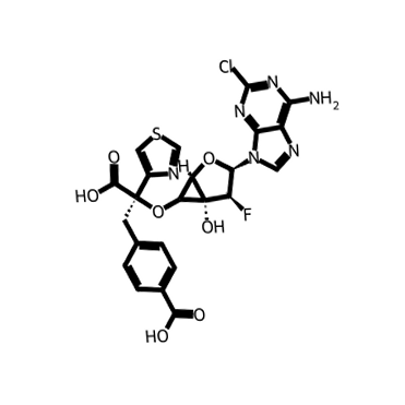 Nc1nc(Cl)nc2c1ncn2[C@@H]1O[C@@H]2C(O[C@@](Cc3ccc(C(=O)O)cc3)(C(=O)O)c3cscn3)[C@]2(O)[C@@H]1F